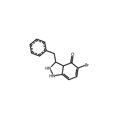 O=C1C(Br)=CC=C2NNC(Cc3ccccc3)C12